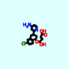 Nc1ccnc(C2=Cc3cc(Cl)ccc3CC2)c1.O=C(O)C=CC(=O)O